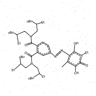 CCCCC(CC)CN(CC(CC)CCCC)C(=O)c1ccc(/N=N/c2c(C)c(C#N)c(=O)n(CC)c2O)cc1C(=O)N(CC(CC)CCCC)CC(CC)CCCC